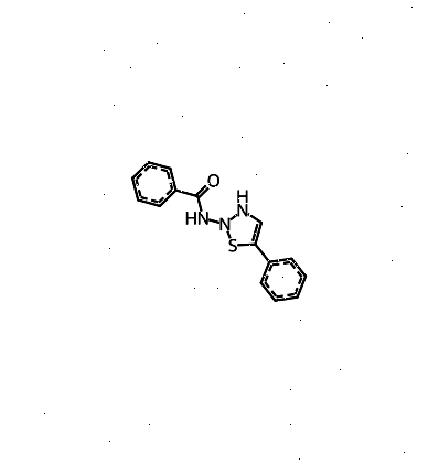 O=C(NN1NC=C(c2ccccc2)S1)c1ccccc1